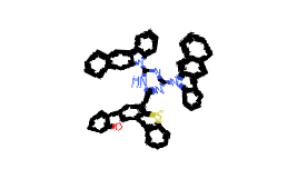 c1ccc2cc3c(cc2c1)c1ccccc1n3C1=NC(n2c3ccccc3c3cc4ccccc4cc32)NC(c2cc3c4ccccc4oc3c3c2sc2ccccc23)=N1